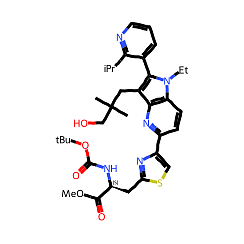 CCn1c(-c2cccnc2C(C)C)c(CC(C)(C)CO)c2nc(-c3csc(C[C@H](NC(=O)OC(C)(C)C)C(=O)OC)n3)ccc21